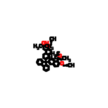 C#CCOc1ccc2cc(C3(c4ccc5c(C(C)(CC)OC)c(OCC#C)ccc5c4)c4ccccc4-c4ccccc43)ccc2c1CC(C)(C)O